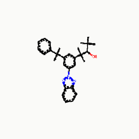 CC(C)(c1ccccc1)c1cc(-n2nc3ccccc3n2)cc(C(C)(C)C(O)C(C)(C)C)c1